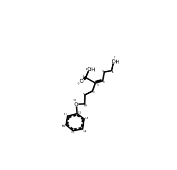 O=C(O)C(=CCCO)CCCOc1ccccc1